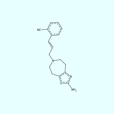 N#Cc1ccccc1C=CCN1CCc2nc(N)sc2CC1